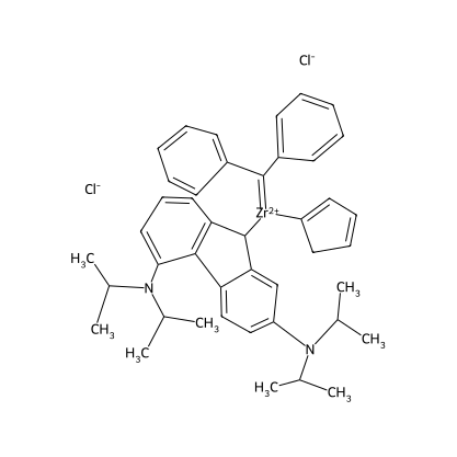 CC(C)N(c1ccc2c(c1)[CH]([Zr+2]([C]1=CC=CC1)=[C](c1ccccc1)c1ccccc1)c1cccc(N(C(C)C)C(C)C)c1-2)C(C)C.[Cl-].[Cl-]